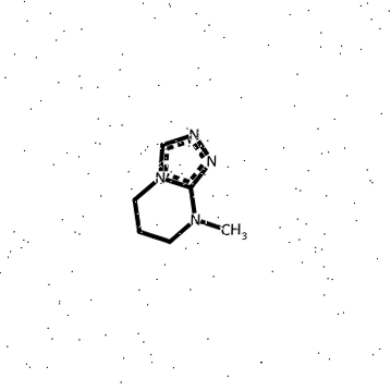 CN1CCCn2cnnc21